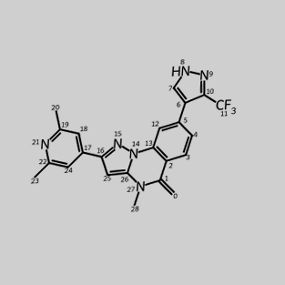 C=C1c2ccc(-c3c[nH]nc3C(F)(F)F)cc2-n2nc(-c3cc(C)nc(C)c3)cc2N1C